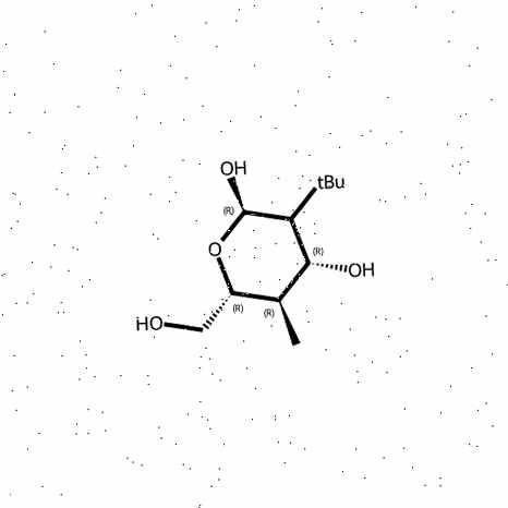 C[C@H]1[C@H](CO)O[C@@H](O)C(C(C)(C)C)[C@@H]1O